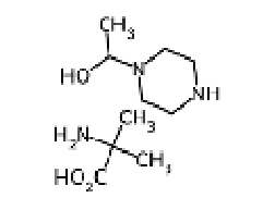 CC(C)(N)C(=O)O.CC(O)N1CCNCC1